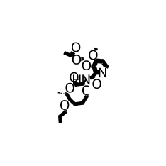 CCCO[C@@H]1CCCC[C@H](NC(=O)c2nccc(OC)c2OCOC(C)=O)C(=O)O[C@H]1C